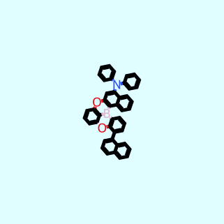 c1ccc(N(c2ccccc2)c2cc3c(c4ccccc24)B2c4cccc(-c5cccc6ccccc56)c4Oc4cccc(c42)O3)cc1